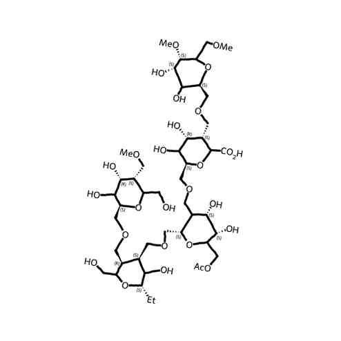 CC[C@@H]1OC(CO)[C@@H](COC[C@@H]2OC(CO)[C@@H](COC)[C@@H](O)C2O)[C@@H](COC[C@H]2OC(COC(C)=O)[C@@H](O)[C@@H](O)C2COC[C@@H]2OC(C(=O)O)[C@@H](COC[C@@H]3OC(COC)[C@@H](OC)[C@@H](O)C3O)[C@@H](O)C2O)C1O